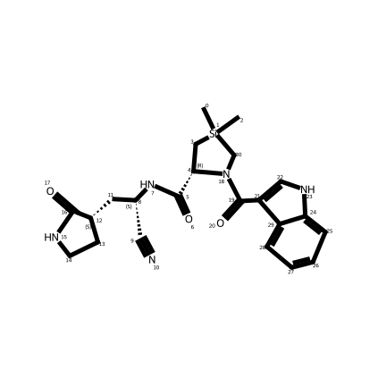 C[Si]1(C)C[C@@H](C(=O)N[C@H](C#N)C[C@@H]2CCNC2=O)N(C(=O)c2c[nH]c3ccccc23)C1